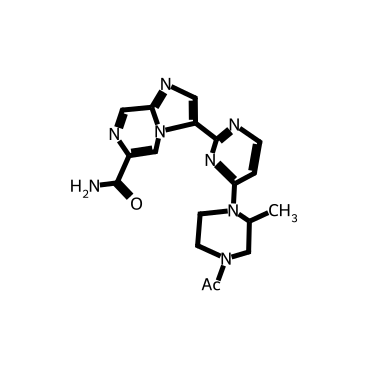 CC(=O)N1CCN(c2ccnc(-c3cnc4cnc(C(N)=O)cn34)n2)C(C)C1